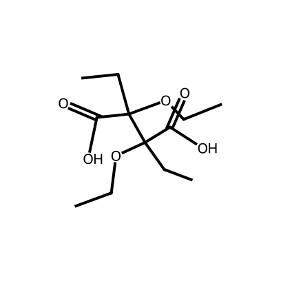 CCOC(CC)(C(=O)O)C(CC)(OCC)C(=O)O